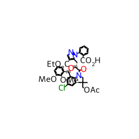 CCOC(=O)c1cnn(-c2ccccc2C(=O)O)c1C[C@H]1O[C@H](c2cccc(OC)c2OC)c2cc(Cl)ccc2N(CC(C)(C)COC(C)=O)C1=O